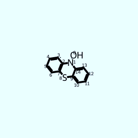 ON1c2[c]cccc2Sc2ccccc21